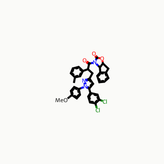 COc1ccc(-n2nc(CC(C(=O)N3C(=O)OC4Cc5ccccc5C43)c3cccc(C)c3)cc2-c2ccc(Cl)c(Cl)c2)cc1